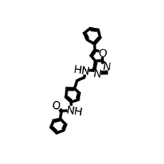 O=C(Nc1ccc(CCNc2ncnc3oc(-c4ccccc4)cc23)cc1)c1ccccc1